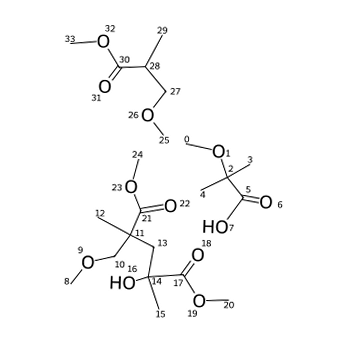 COC(C)(C)C(=O)O.COCC(C)(CC(C)(O)C(=O)OC)C(=O)OC.COCC(C)C(=O)OC